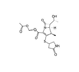 CC(=O)OCOC(=O)C1=C(SC2CNC(=O)C2)[C@H](C)[C@@H]2[C@@H]([C@@H](C)O)C(=O)N12